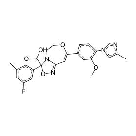 COc1cc(C2=CC3=NOC(C(=O)O)(c4cc(C)cc(F)c4)N3CCO2)ccc1-n1cnc(C)c1